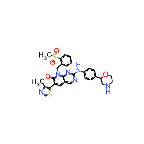 Cc1ncsc1-c1cc2cnc(Nc3ccc(C4CNCCO4)cc3)nc2n(Cc2ccccc2S(C)(=O)=O)c1=O